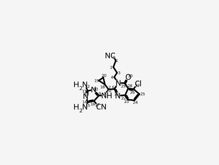 N#CCCCCn1c([C@@H](Nc2nc(N)nc(N)c2C#N)C2CC2)nc2cccc(Cl)c2c1=O